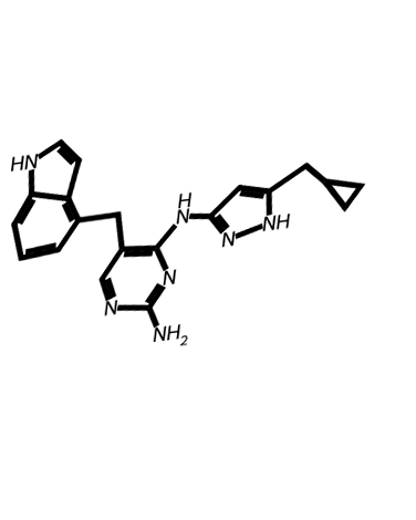 Nc1ncc(Cc2cccc3[nH]ccc23)c(Nc2cc(CC3CC3)[nH]n2)n1